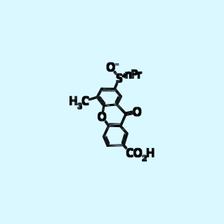 CCC[S+]([O-])c1cc(C)c2oc3ccc(C(=O)O)cc3c(=O)c2c1